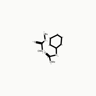 CCCCOC(=O)OC.COC(=O)OC1CCCCC1